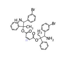 CC(OC(=O)/C=C\C(=O)OC(C)(c1ccccc1)C(N)c1cccc(Br)c1)(c1ccccc1)C(N)c1cccc(Br)c1